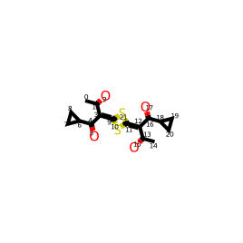 CC(=O)C(C(=O)C1CC1)=c1sc(=C(C(C)=O)C(=O)C2CC2)s1